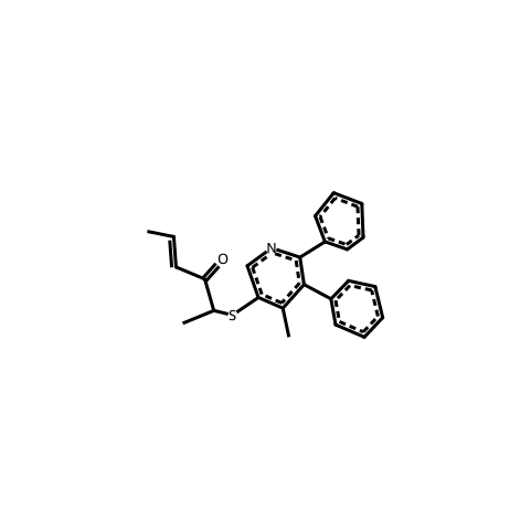 C/C=C/C(=O)C(C)Sc1cnc(-c2ccccc2)c(-c2ccccc2)c1C